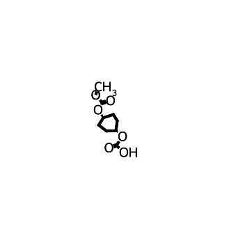 COC(=O)O[C@H]1CC[C@H](OC(=O)O)CC1